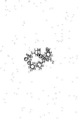 CCC(CCN(C)C(=O)COc1ccccc1)CNOCC(N)(CCC1CCCCC1)c1cccc(Br)c1